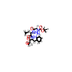 C[C@H](NC(=O)OC(C)(C)C)C(=O)N[C@@H](CC1CC1)C(=O)NC(Cc1ccccc1)C(=O)[C@@]1(C)CO1